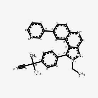 CCn1nc2cnc3ccc(-c4cccnc4)cc3c2c1-c1ccc(C(C)(C)C#N)cc1